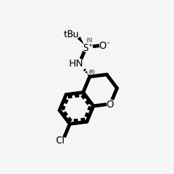 CC(C)(C)[S@@+]([O-])N[C@@H]1CCOc2cc(Cl)ccc21